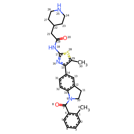 Cc1ccccc1C(=O)N1CCc2cc(-c3nc(NC(=O)CC4CCNCC4)sc3C)ccc21